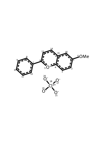 COc1ccc2[o+]c(-c3ccccc3)ccc2c1.[O-][Cl+3]([O-])([O-])[O-]